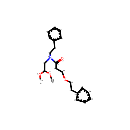 CCOC(CN(CCc1ccccc1)C(=O)CCOCCc1ccccc1)OCC